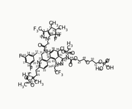 C[C@@H]1c2c(C(F)(F)F)nn(CC(=O)N[C@@H](Cc3cc(F)cc(F)c3)c3nc(CCC(C)(C)S(C)(=O)=O)ccc3-c3ccc(Cl)c4c(N(C(=O)OCCOCCOP(=O)(O)O)S(C)(=O)=O)nn(CC(F)(F)F)c34)c2C(F)(F)[C@@H]1C